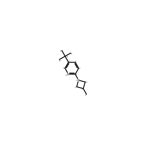 CC1CN(c2ccc(C(C)(C)C)cn2)C1